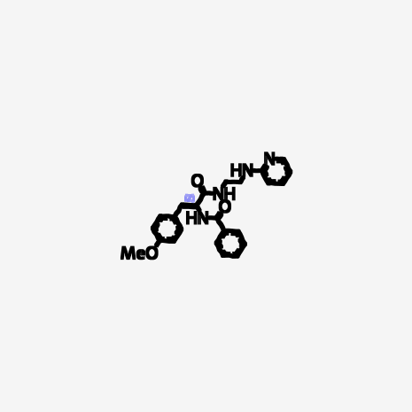 COc1ccc(/C=C(\NC(=O)c2ccccc2)C(=O)NCCNc2ccccn2)cc1